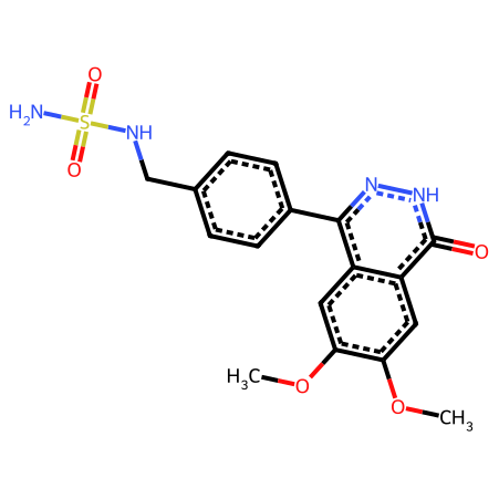 COc1cc2c(-c3ccc(CNS(N)(=O)=O)cc3)n[nH]c(=O)c2cc1OC